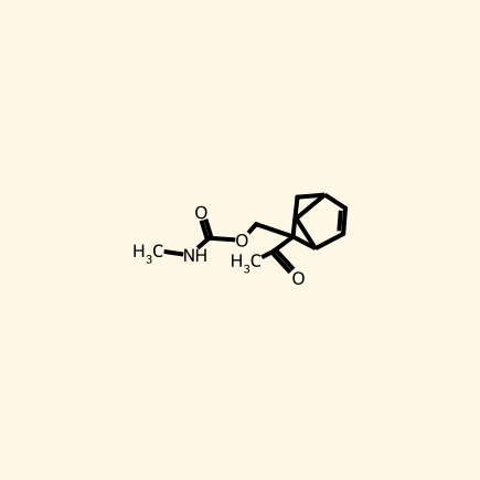 CNC(=O)OCC1(C(C)=O)CC2C=CC1C2